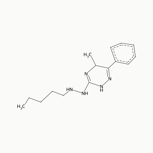 CCCCCNNC1=NC(C)C(c2ccccc2)=NN1